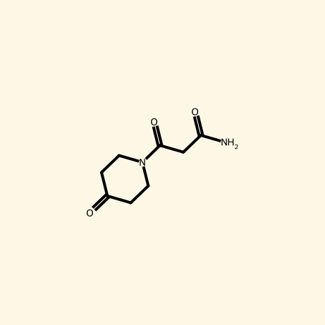 NC(=O)CC(=O)N1CCC(=O)CC1